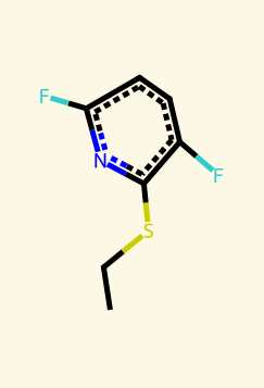 CCSc1nc(F)ccc1F